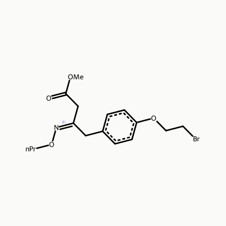 CCCO/N=C(/CC(=O)OC)Cc1ccc(OCCBr)cc1